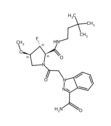 CO[C@@H]1CN(C(=O)Cn2nc(C(N)=O)c3ccccc32)[C@H](C(=O)NCCC(C)(C)C)[C@H]1F